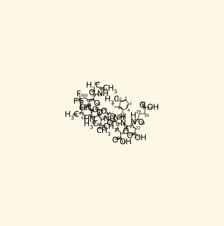 Cc1ccccc1C[C@H](NC(=O)[C@H](CCC(=O)O)NC(=O)[C@H](CC(=O)O)NC(=O)CCC(=O)O)C(=O)N[C@H](C(=O)N[C@@H](CC(C)C)C(=O)N[C@@H](CC(F)(F)F)C(=O)C(=O)NC(C)C)C(C)(C)C